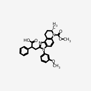 COC(=O)N1c2ccc3c(nc(CC(C(=O)O)c4ccccc4)n3-c3cccc(OC)c3)c2CC[C@@H]1C